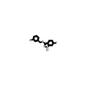 Fc1cccc(CSc2n[nH]c3cc(F)ccc23)c1